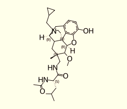 COC1[C@@H]2Oc3c(O)ccc4c3[C@@]23CCN(CC2CC2)[C@H](C4)C3C[C@@]1(C)CNC(=O)[C@H](CC(C)C)NC(C)=O